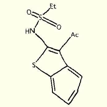 CCS(=O)(=O)Nc1sc2ccccc2c1C(C)=O